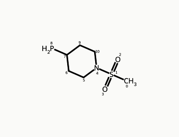 CS(=O)(=O)N1CCC(P)CC1